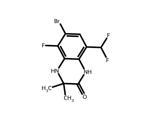 CC1(C)Nc2c(F)c(Br)cc(C(F)F)c2NC1=O